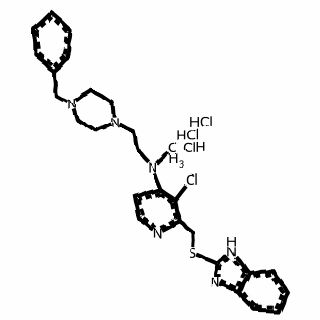 CN(CCN1CCN(Cc2ccccc2)CC1)c1ccnc(CSc2nc3ccccc3[nH]2)c1Cl.Cl.Cl.Cl